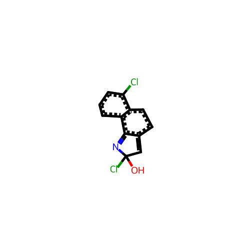 OC1(Cl)C=c2ccc3c(Cl)cccc3c2=N1